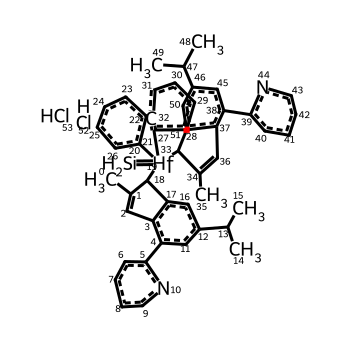 CC1=Cc2c(-c3ccccn3)cc(C(C)C)cc2[CH]1[Hf](=[SiH2])([c]1ccccc1)([c]1ccccc1)[CH]1C(C)=Cc2c(-c3ccccn3)cc(C(C)C)cc21.Cl.Cl